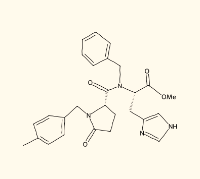 COC(=O)[C@H](Cc1c[nH]cn1)N(Cc1ccccc1)C(=O)[C@@H]1CCC(=O)N1Cc1ccc(C)cc1